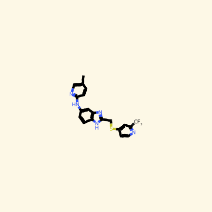 Cc1ccc(Nc2ccc3[nH]c(CSc4ccnc(C(F)(F)F)c4)nc3c2)nc1